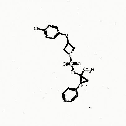 O=C(O)C1(NS(=O)(=O)N2CC(Oc3ccc(Cl)cc3)C2)C[C@H]1c1ccccc1